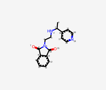 CC(NCCN1C(=O)c2ccccc2C1=O)c1ccncc1